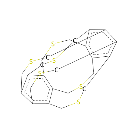 C1SCc2c3c4c5c6c2CSCc2c1c(c(c(c2CSC6)CSC5)CSC4)CSC3